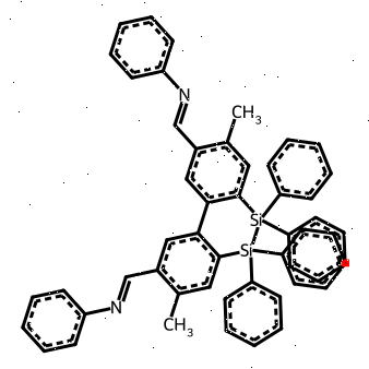 Cc1cc2c(cc1/C=N/c1ccccc1)-c1cc(/C=N/c3ccccc3)c(C)cc1[Si](c1ccccc1)(c1ccccc1)[Si]2(c1ccccc1)c1ccccc1